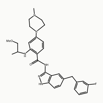 COCC(C)Nc1cc(N2CCN(C)CC2)ccc1C(=O)Nc1n[nH]c2ccc(Cc3cccc(F)c3)cc12